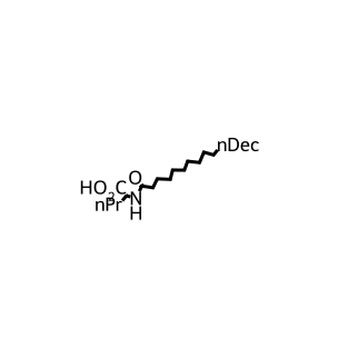 CCCCCCCCCCCCCCCCCCCC(=O)NC(CCC)C(=O)O